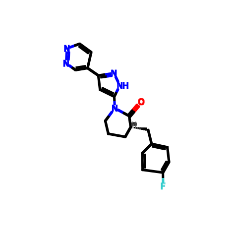 O=C1[C@H](Cc2ccc(F)cc2)CCCN1c1cc(-c2ccnnc2)n[nH]1